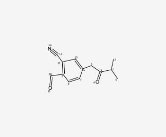 CC(C)C(=O)Cc1ccc(C=O)c(C#N)c1